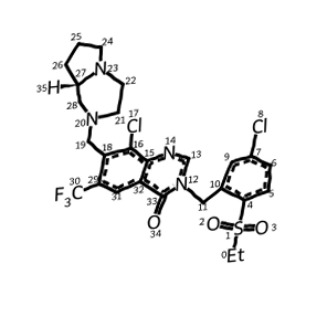 CCS(=O)(=O)c1ccc(Cl)cc1Cn1cnc2c(Cl)c(CN3CCN4CCC[C@H]4C3)c(C(F)(F)F)cc2c1=O